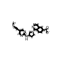 O=[N+]([O-])c1ccc2c(N3CC[C@@H](Nc4ncc(C#CSI)cn4)C3)nncc2c1